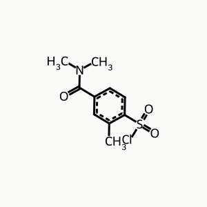 Cc1cc(C(=O)N(C)C)ccc1S(=O)(=O)Cl